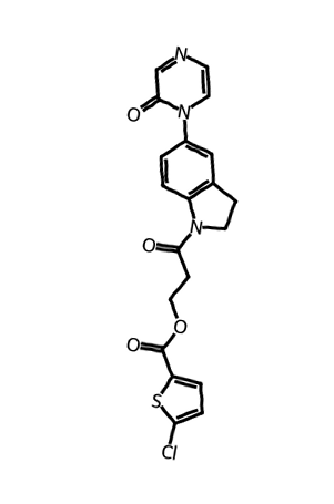 O=C(OCCC(=O)N1CCc2cc(-n3ccncc3=O)ccc21)c1ccc(Cl)s1